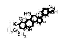 CN(C)[C@H]1C[C@]2(O)CCC3=C(C=C2[C@@H](O)[C@@H]1O)C(O)C[C@]1(C)C(c2ccc4nn[nH]c4c2)=CCC31